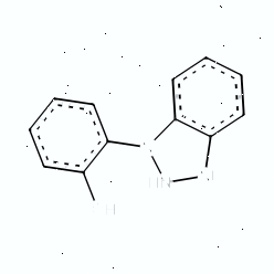 Oc1ccccc1N1NNc2ccccc21